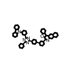 c1ccc(-c2nc(-c3ccc(-c4cccc(-c5nc6cc7ccccc7cc6c6c5oc5ccccc56)c4)cc3)nc(-c3cccc(-n4c5ccccc5c5ccccc54)c3)n2)cc1